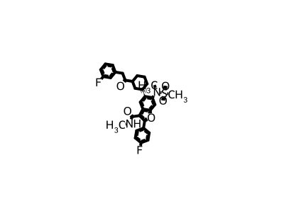 CNC(=O)c1c(-c2ccc(F)cc2)oc2cc(N(C)S(C)(=O)=O)c([C@H]3CCCC(C(=O)Cc4cccc(F)c4)C3)cc12